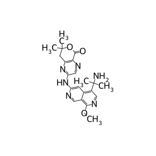 COc1ncc(C(C)(C)N)c2cc(Nc3cnc4c(n3)CC(C)(C)OC4=O)ncc12